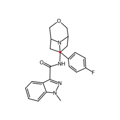 Cn1nc(C(=O)NC2CC3COCC(C2)N3Cc2ccc(F)cc2)c2ccccc21